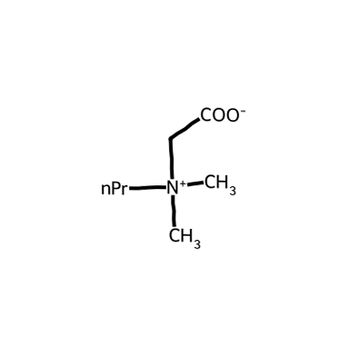 CCC[N+](C)(C)CC(=O)[O-]